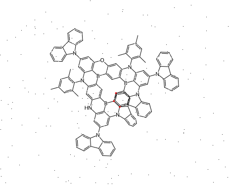 Cc1cc(C)c(N2c3cc4c(cc3B3c5cc6c(cc5Oc5cc(-n7c8ccccc8c8ccccc87)cc2c53)N(c2c(C)cc(C)cc2C)c2cc(-n3c5ccccc5c5ccccc53)cc3c2B6c2cccc5c6ccccc6n-3c25)B2c3c(cc(-n5c6ccccc6c6ccccc65)cc3-n3c5ccccc5c5cccc2c53)N4)c(C)c1